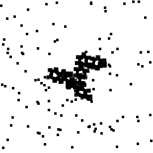 O=C(N[C@H](Cc1ccc(Cl)cc1)C(=O)N1CCC(c2ccccc2O[C@H]2CCCNC2)CC1)[C@H]1Cc2ccccc2CN1